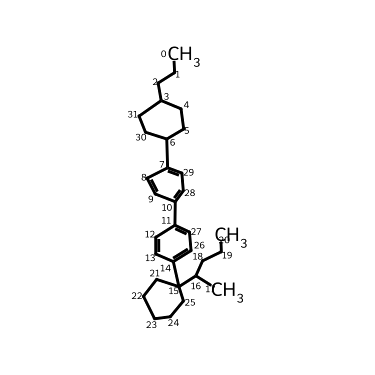 CCCC1CCC(c2ccc(-c3ccc(C4(C(C)CCC)CCCCC4)cc3)cc2)CC1